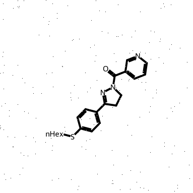 CCCCCCSc1ccc(C2=NN(C(=O)c3cccnc3)CC2)cc1